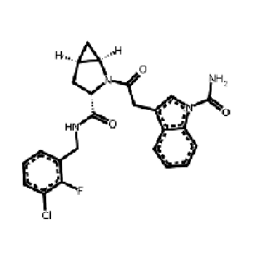 NC(=O)n1cc(CC(=O)N2[C@@H]3C[C@@H]3C[C@H]2C(=O)NCc2cccc(Cl)c2F)c2ccccc21